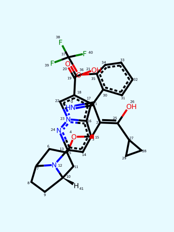 N=C(/C(COC1CC2CC[C@@H](C1)N2c1ccc2cc(C(=O)O)cn2n1)=C(\O)C1CC1)c1ccccc1OC(F)(F)F